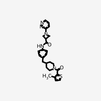 Cc1ccsc1C(=O)N1CCC(Cc2ccc(NC(=O)C3CN(c4cccnn4)C3)cc2)CC1